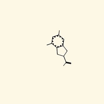 O=C(O)C1Cc2cc(Cl)cc(F)c2C1